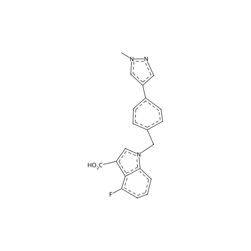 Cn1cc(-c2ccc(Cn3cc(C(=O)O)c4c(F)cccc43)cc2)cn1